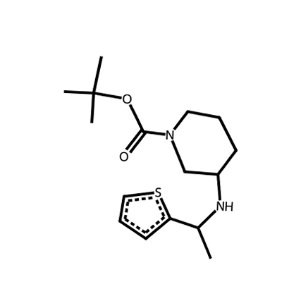 CC(NC1CCCN(C(=O)OC(C)(C)C)C1)c1cccs1